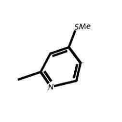 CSc1[c]cnc(C)c1